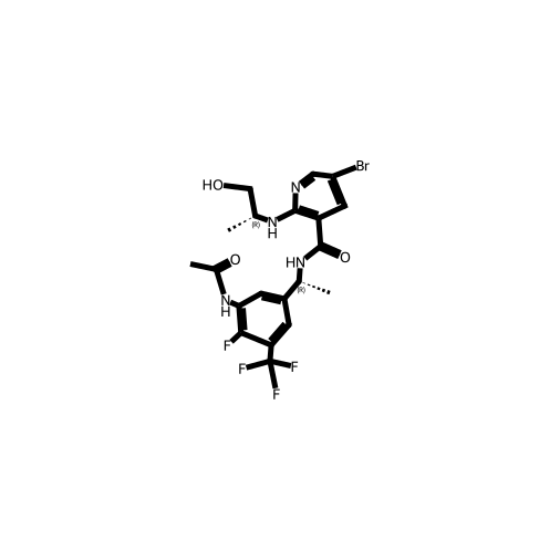 CC(=O)Nc1cc([C@@H](C)NC(=O)c2cc(Br)cnc2N[C@H](C)CO)cc(C(F)(F)F)c1F